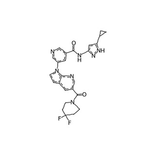 O=C(Nc1cc(C2CC2)[nH]n1)c1cncc(-n2ccc3cc(C(=O)N4CCC(F)(F)CC4)cnc32)c1